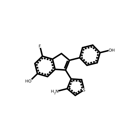 Nc1cscc1C1=C(c2ccc(O)cc2)Cc2c(F)cc(O)cc21